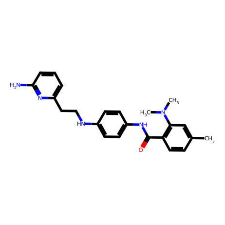 Cc1ccc(C(=O)Nc2ccc(NCCc3cccc(N)n3)cc2)c(N(C)C)c1